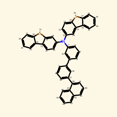 c1cc(-c2cccc(N(c3ccc4c(c3)sc3ccccc34)c3ccc4sc5ccccc5c4c3)c2)cc(-c2cccc3ccccc23)c1